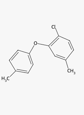 Cc1ccc(Oc2cc(C)ccc2Cl)cc1